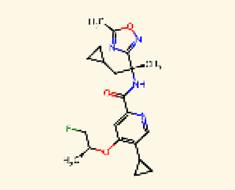 Cc1nc([C@@](C)(CC2CC2)NC(=O)c2cc(O[C@@H](C)CF)c(C3CC3)cn2)no1